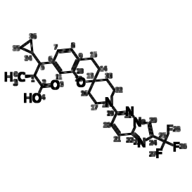 C[C@H](C(=O)O)C(c1ccc2c(c1)OC1(CC2)CCN(c2ccc3nc(C(F)(F)F)cn3n2)CC1)C1CC1